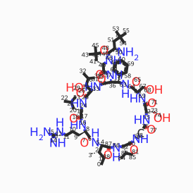 CC[C@H](C)[C@@H]1NC(=O)[C@@H](CCCNC(=N)N)NC(=O)[C@H](CC(C)C)NC(=O)[C@H]([C@H](O)C(C)C)NC(=O)[C@@H](NC(=O)[C@H](CC(C)(C)C)NC(=O)[C@H](N)CC(C)(C)C)[C@@H](c2ccccc2)NC(=O)C(CO)NC(=O)[C@H](CO)NC(=O)CNC(=O)[C@H](C(C)C)NC1=O